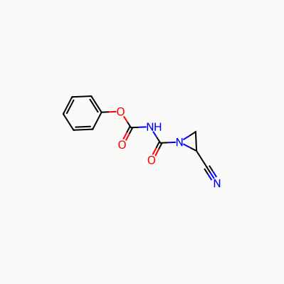 N#CC1CN1C(=O)NC(=O)Oc1ccccc1